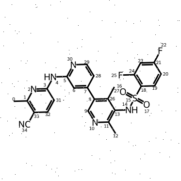 Cc1nc(Nc2cc(-c3cnc(C)c(NS(=O)(=O)c4ccc(F)cc4F)c3C)ccn2)ccc1C#N